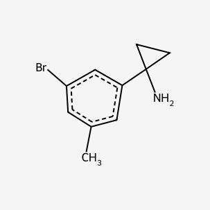 Cc1cc(Br)cc(C2(N)CC2)c1